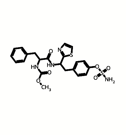 COC(=O)NC(Cc1ccccc1)C(=O)NC(Cc1ccc(OS(N)(=O)=O)cc1)c1nccs1